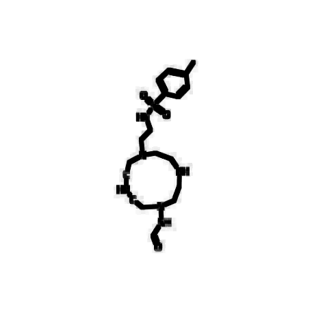 Cc1ccc(S(=O)(=O)NCCN2CCNCCN(NC=O)CCNCC2)cc1